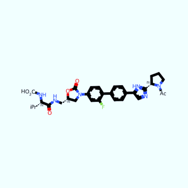 CC(=O)N1CCC[C@H]1c1ncc(-c2ccc(-c3ccc(N4C[C@H](CNC(=O)[C@@H](NC(=O)O)C(C)C)OC4=O)cc3F)cc2)[nH]1